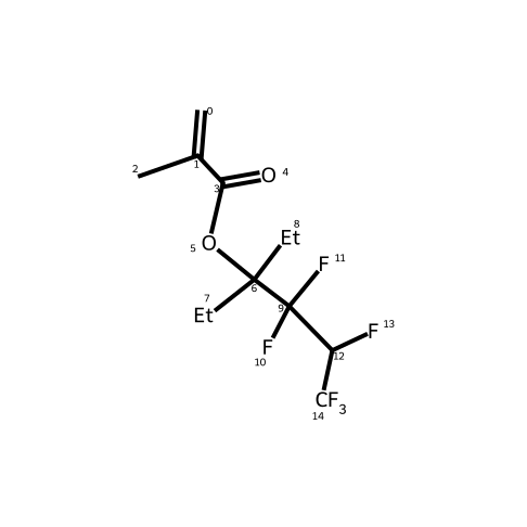 C=C(C)C(=O)OC(CC)(CC)C(F)(F)C(F)C(F)(F)F